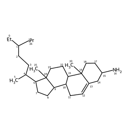 CCC(CCC(C)C1CCC2C3CC=C4CC(N)CCC4(C)C3CCC12C)C(C)C